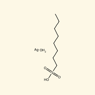 CCCCCCCCS(=O)(=O)O.O.[Ag]